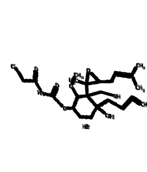 Br.C=CCCC1(O)CCC(OC(=O)NC(=O)CCl)C(OC)C1(CS)C1(C)OC1CC=C(C)C